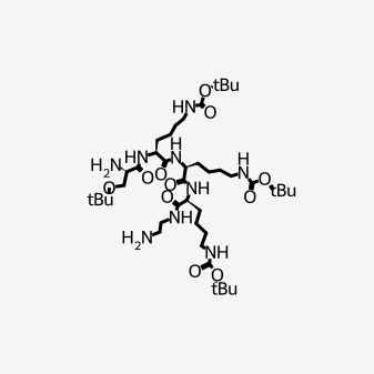 CC(C)(C)OC[C@H](N)C(=O)N[C@@H](CCCCNC(=O)OC(C)(C)C)C(=O)N[C@@H](CCCCNC(=O)OC(C)(C)C)C(=O)N[C@@H](CCCCNC(=O)OC(C)(C)C)C(=O)NCCN